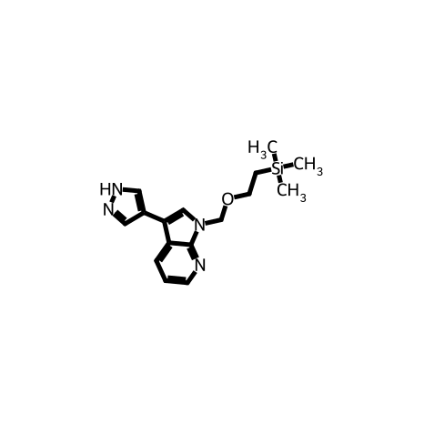 C[Si](C)(C)CCOCn1cc(-c2cn[nH]c2)c2cccnc21